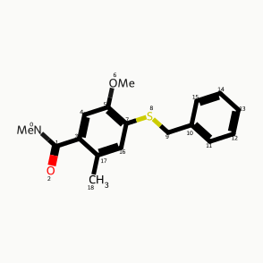 CNC(=O)c1cc(OC)c(SCc2ccccc2)cc1C